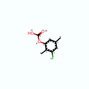 Cc1cc(F)c(C)c(OC(=O)O)c1